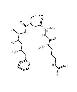 CCCC[C@H](NC(=O)[C@@H](N)CCCNC(=N)N)C(=O)N[C@@H](CC(=O)O)C(=O)NC(C(C)C)C(O)CC(Cc1ccccc1)C(=O)O